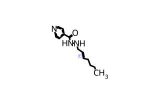 CCCC/C=C/CNNC(=O)c1ccncc1